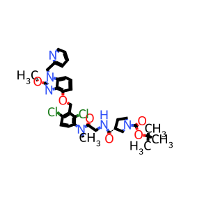 COc1nc2c(OCc3c(Cl)ccc(N(C)C(=O)CNC(=O)[C@@H]4CCN(C(=O)OC(C)(C)C)C4)c3Cl)cccc2n1Cc1ccccn1